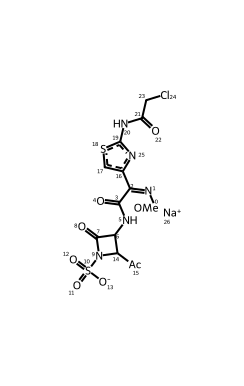 CON=C(C(=O)NC1C(=O)N(S(=O)(=O)[O-])C1C(C)=O)c1csc(NC(=O)CCl)n1.[Na+]